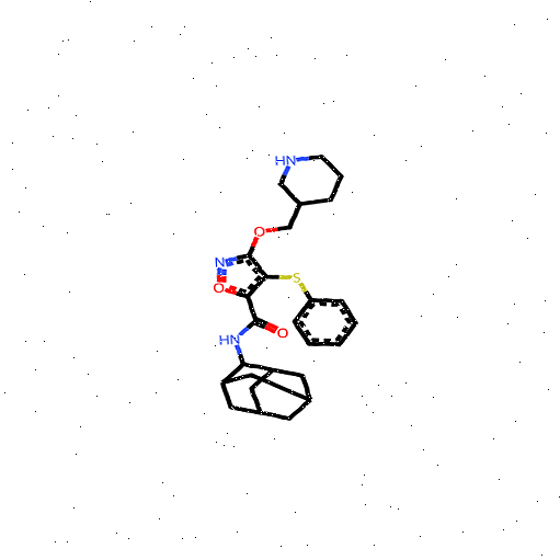 O=C(NC1C2CC3CC(C2)CC1C3)c1onc(OCC2CCCNC2)c1Sc1ccccc1